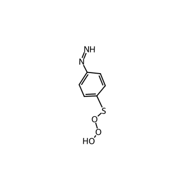 N=Nc1ccc(SOOO)cc1